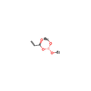 C=CC(=O)OB(OCC)OC(C)[CH]C